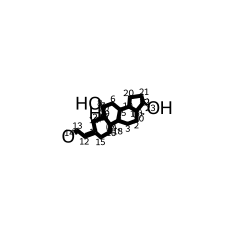 C[C@]12CCC3C(C[C@H](O)[C@H]4CC(=CC=O)CC[C@]34C)C1CC[C@@H]2O